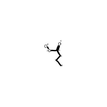 CCCC(=O)OCl